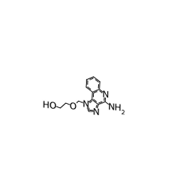 Nc1nc2ccccc2c2c1ncn2COCCO